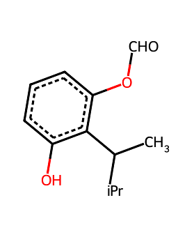 CC(C)C(C)c1c(O)cccc1OC=O